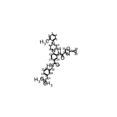 Cc1ccccc1N1CCN(c2ccc(C(=O)NCc3cccc(CN(C)C)c3)cc2NC(=O)c2coc(C3CC3)n2)CC1